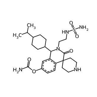 CC(C)C1CCC(C2c3cc(OC(N)=O)ccc3C3(CCNCC3)C(=O)N2CCNS(N)(=O)=O)CC1